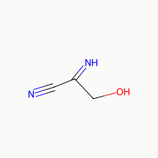 N#CC(=N)CO